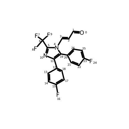 O=CC=Cn1c(C(F)(F)F)nc(-c2ccc(F)cc2)c1-c1ccc(F)cc1